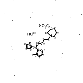 Cc1ccsc1/C(=N\OCCN1CCC[C@@H](C(=O)O)C1)c1cccs1.Cl